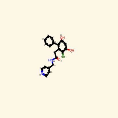 O=C(Cc1c(Br)c(O)cc(O)c1-c1ccccc1)NCc1ccncc1